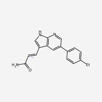 CCc1ccc(-c2cnc3[nH]cc(/C=C/C(N)=O)c3c2)cc1